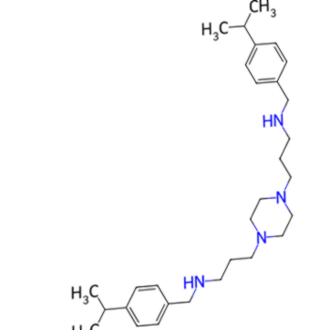 CC(C)c1ccc(CNCCCN2CCN(CCCNCc3ccc(C(C)C)cc3)CC2)cc1